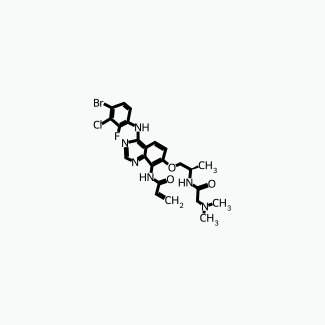 C=CC(=O)Nc1c(OC[C@@H](C)NC(=O)CN(C)C)ccc2c(Nc3ccc(Br)c(Cl)c3F)ncnc12